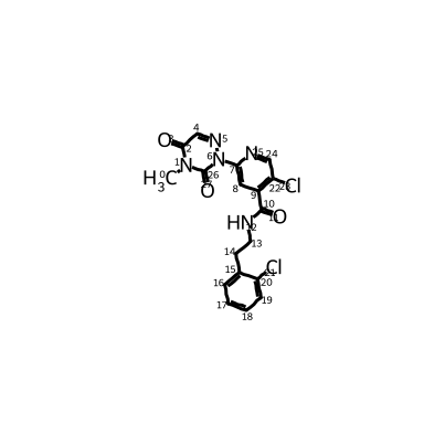 Cn1c(=O)cnn(-c2cc(C(=O)NCCc3ccccc3Cl)c(Cl)cn2)c1=O